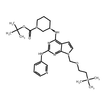 CC(C)(C)OC(=O)N1CCC[C@@H](Nc2nc(Nc3cccnc3)nc3c2ccn3COCC[Si](C)(C)C)C1